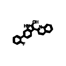 Oc1[nH]c2cc(-c3ccccc3F)ccc2c1-c1ccc2ccccc2n1